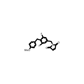 COc1ccc(Cc2c(F)cc(CN3C(=O)C=CC3=O)cc2F)cc1